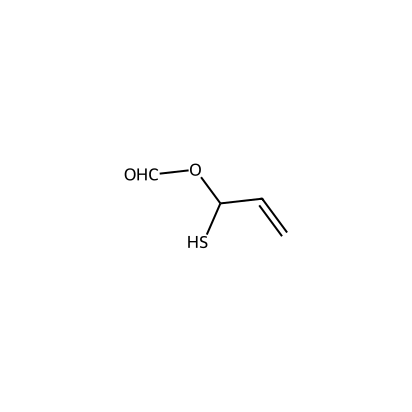 C=CC(S)OC=O